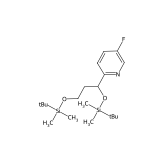 CC(C)(C)[Si](C)(C)OCCC(O[Si](C)(C)C(C)(C)C)c1ccc(F)cn1